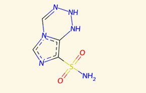 NS(=O)(=O)c1ncn2c1NNN=C2